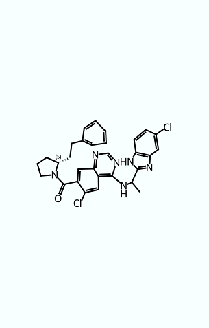 CC(Nc1ncnc2cc(C(=O)N3CCC[C@@H]3CCc3ccccc3)c(Cl)cc12)c1nc2cc(Cl)ccc2[nH]1